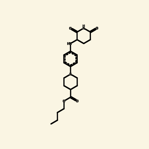 CCCCOC(=O)C1CCN(c2ccc(NC3CCC(=O)NC3=O)cc2)CC1